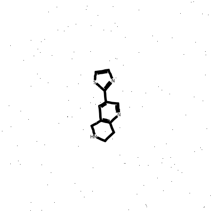 c1csc(-c2cnc3c(c2)CNCC3)n1